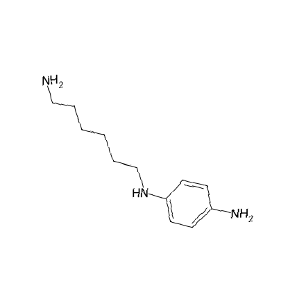 NCCCCCCNc1ccc(N)cc1